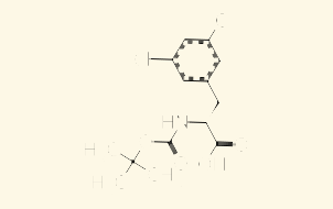 CC(C)(C)OC(=O)N[C@@H](Cc1cc(Cl)cc(Cl)c1)C(=O)O